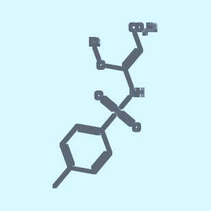 CCOC(=O)C=C(NS(=O)(=O)c1ccc(C)cc1)OCC